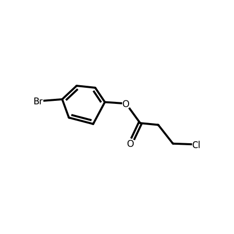 O=C(CCCl)Oc1ccc(Br)cc1